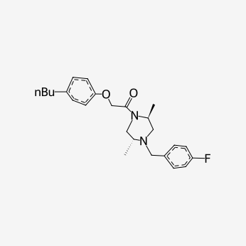 CCCCc1ccc(OCC(=O)N2C[C@@H](C)N(Cc3ccc(F)cc3)C[C@@H]2C)cc1